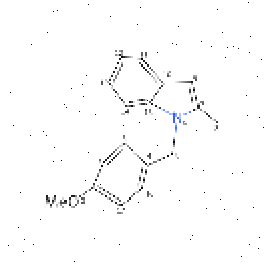 COc1ccc(Cn2c(C)cc3ccccc32)cc1